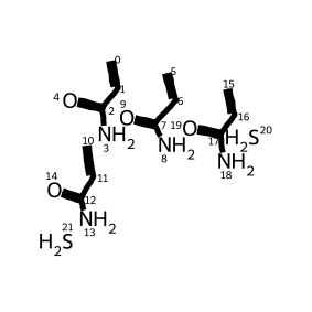 C=CC(N)=O.C=CC(N)=O.C=CC(N)=O.C=CC(N)=O.S.S